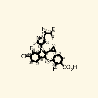 O=C(O)c1cccc(Sc2c(C3CC3)n(-c3cnn(C(F)C(F)F)c3)c3c(F)c(Cl)ccc23)c1F